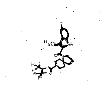 Cc1c(C(=O)N2CCCC23CCN(C(=O)OC(C(F)(F)F)C(F)(F)F)CC3)[nH]c2ccc(Cl)cc12